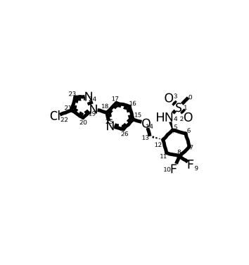 CS(=O)(=O)N[C@H]1CCC(F)(F)C[C@@H]1COc1ccc(-n2cc(Cl)cn2)nc1